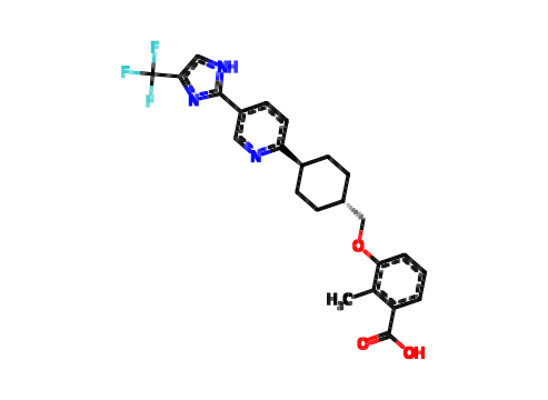 Cc1c(OC[C@H]2CC[C@H](c3ccc(-c4nc(C(F)(F)F)c[nH]4)cn3)CC2)cccc1C(=O)O